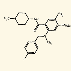 CNc1cc(N(C)Cc2ccc(F)cc2)c(C(=O)N[C@H]2CC[C@H](C)CC2)cc1[N+](=O)[O-]